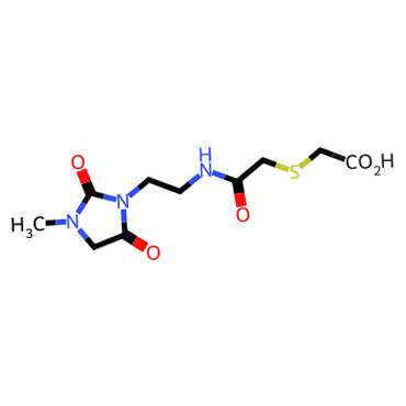 CN1CC(=O)N(CCNC(=O)CSCC(=O)O)C1=O